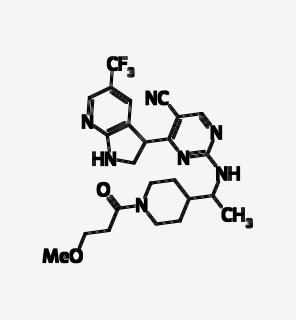 COCCC(=O)N1CCC(C(C)Nc2ncc(C#N)c(C3CNc4ncc(C(F)(F)F)cc43)n2)CC1